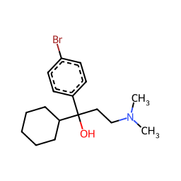 CN(C)CCC(O)(c1ccc(Br)cc1)C1CCCCC1